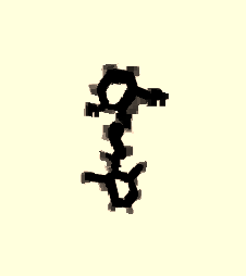 Cc1cccc(C)c1N=CC=Nc1c(C(C)C)cccc1C(C)C